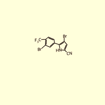 N#Cc1cc(Br)c(-c2ccc(C(F)(F)F)c(Br)c2)[nH]1